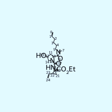 C=CCCCCN(C)C(=O)C1CC(O)CN1C(=O)N[C@]1(C(=O)OCC)CC1C=C